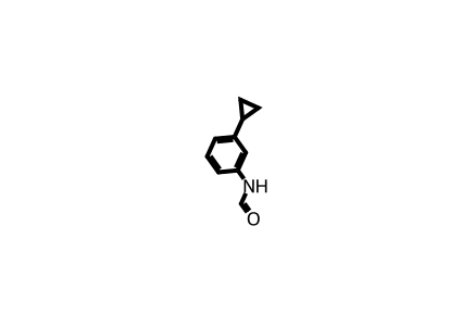 O=CNc1cccc(C2CC2)c1